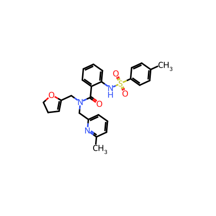 Cc1ccc(S(=O)(=O)Nc2ccccc2C(=O)N(CC2=CCCO2)Cc2cccc(C)n2)cc1